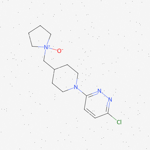 [O-][N+]1(CC2CCN(c3ccc(Cl)nn3)CC2)CCCC1